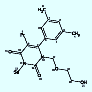 Cc1cc(C)cc(-c2c(C(C)C)c(=O)n([Se])c(=O)n2COCCO)c1